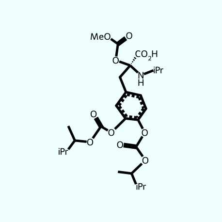 COC(=O)O[C@](Cc1ccc(OC(=O)OC(C)C(C)C)c(OC(=O)OC(C)C(C)C)c1)(NC(C)C)C(=O)O